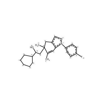 CC1=Cc2c(cnn2-c2ccc(F)cc2)CC1(C)CC(O)C1CCCCC1